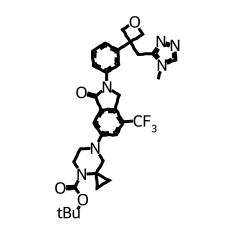 Cn1cnnc1CC1(c2cccc(N3Cc4c(cc(N5CCN(C(=O)OC(C)(C)C)C6(CC6)C5)cc4C(F)(F)F)C3=O)c2)COC1